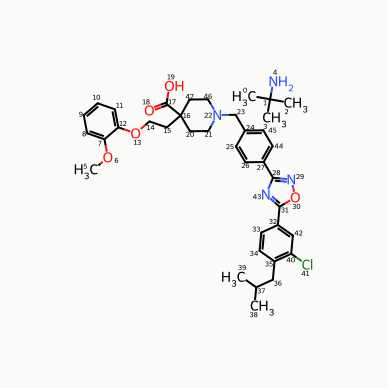 CC(C)(C)N.COc1ccccc1OCCC1(C(=O)O)CCN(Cc2ccc(-c3noc(-c4ccc(CC(C)C)c(Cl)c4)n3)cc2)CC1